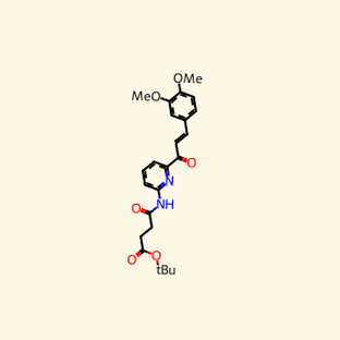 COc1ccc(C=CC(=O)c2cccc(NC(=O)CCC(=O)OC(C)(C)C)n2)cc1OC